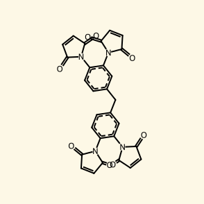 O=C1C=CC(=O)N1c1ccc(Cc2ccc(N3C(=O)C=CC3=O)c(N3C(=O)C=CC3=O)c2)cc1N1C(=O)C=CC1=O